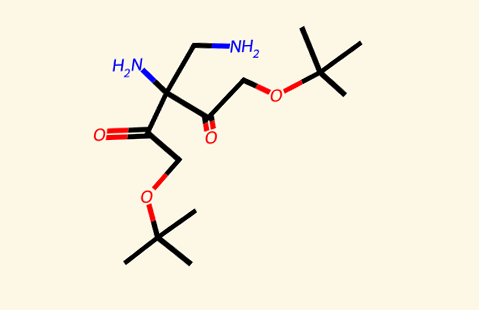 CC(C)(C)OCC(=O)C(N)(CN)C(=O)COC(C)(C)C